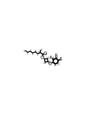 CCCCCCC(C)C(=O)OC1CC(Oc2ccc(F)c(F)c2F)C1